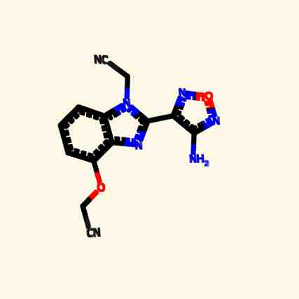 N#CCOc1cccc2c1nc(-c1nonc1N)n2CC#N